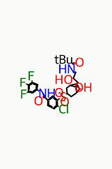 C[C@H]1CC2CC(S(=O)(=O)c3cc(C(=O)Nc4cc(F)c(F)c(F)c4)ccc3Cl)CC1[C@@]2(O)CC(O)CNC(=O)C(C)(C)C